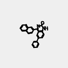 O=c1nc(-c2ccc3ccccc3c2)c2cc(-c3ccccc3)ccc2[nH]1